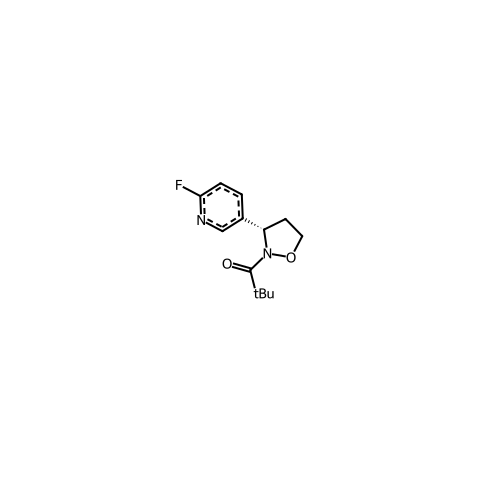 CC(C)(C)C(=O)N1OCC[C@H]1c1ccc(F)nc1